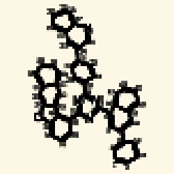 c1ccc(-c2cc(-c3nc(-c4ccc(-c5cnc6ccccc6c5)cc4)nc(-c4cccc5oc6cc7ccccc7cc6c45)n3)c3ccccc3c2)cc1